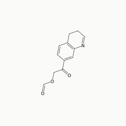 O=COCC(=O)c1ccc2c(c1)N=CCC2